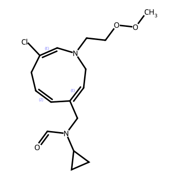 COOCCN1/C=C(/Cl)C/C=C\C(CN(C=O)C2CC2)=C/C1